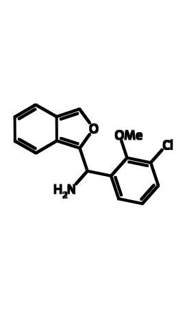 COc1c(Cl)cccc1C(N)c1occ2ccccc12